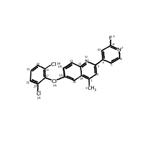 Cc1cc(-c2ccnc(F)c2)nc2ccc(Oc3c(Cl)cccc3Cl)cc12